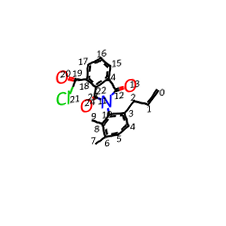 C=CCc1ccc(C)c(C)c1N1C(=O)c2cccc(C(=O)Cl)c2C1=O